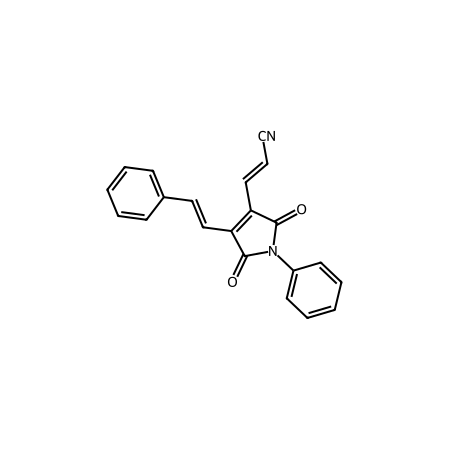 N#CC=CC1=C(C=Cc2ccccc2)C(=O)N(c2ccccc2)C1=O